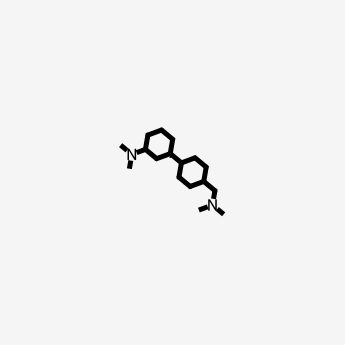 CN(C)CC1CCC([C]2CCCC(N(C)C)C2)CC1